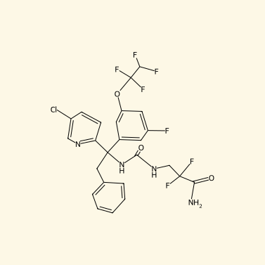 NC(=O)C(F)(F)CNC(=O)NC(Cc1ccccc1)(c1cc(F)cc(OC(F)(F)C(F)F)c1)c1ccc(Cl)cn1